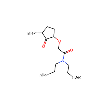 CCCCCCCCCCCCN(CCCCCCCCCCCC)C(=O)COC1CCC(CCCCCC)C1=O